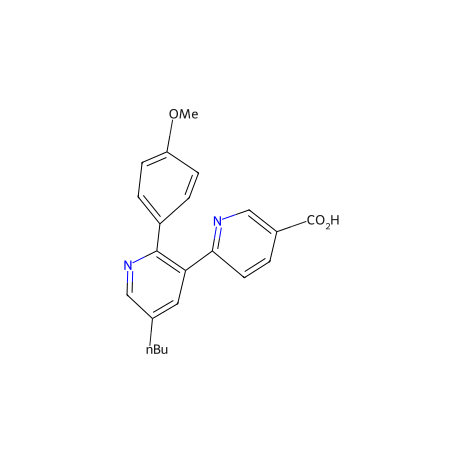 CCCCc1cnc(-c2ccc(OC)cc2)c(-c2ccc(C(=O)O)cn2)c1